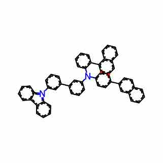 c1cc(-c2cccc(-n3c4ccccc4c4ccccc43)c2)cc(N(c2ccc(-c3ccc4ccccc4c3)cc2)c2ccccc2-c2cccc3ccccc23)c1